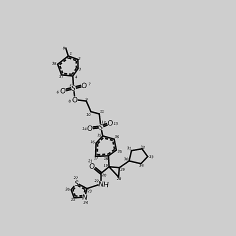 Cc1ccc(S(=O)(=O)OCCCS(=O)(=O)c2ccc(C3(C(=O)Nc4nccs4)CC3C3CCCC3)cc2)cc1